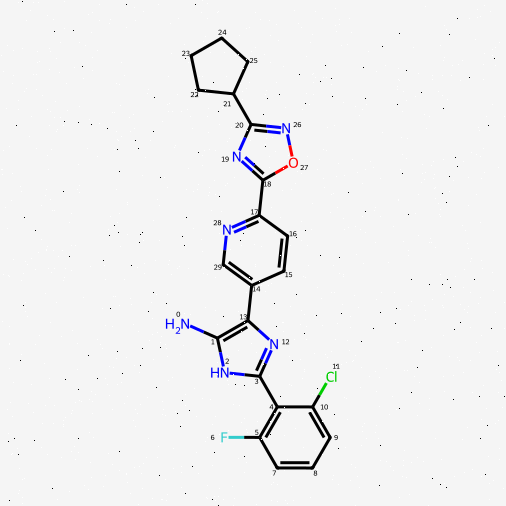 Nc1[nH]c(-c2c(F)cccc2Cl)nc1-c1ccc(-c2nc(C3CCCC3)no2)nc1